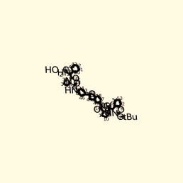 CC(C)(C)OC(=O)NC(C(=O)N1CCCC1C(=O)Nc1ccc2oc(-c3ccc(NC(=O)[C@@H]4CCCN4C(=O)[C@H](NC(=O)O)c4ccccc4)cc3)cc2c1)c1ccccc1